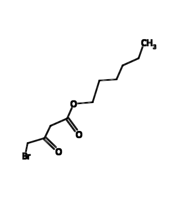 CCCCCCOC(=O)CC(=O)CBr